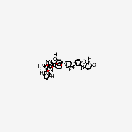 CN(c1cccc([C@H]2CCN([C@H]3CC[C@H](c4ccnc(N5[C@@H]6CC[C@H]5CN(c5cc(-c7ccccc7O)nnc5N)C6)n4)CC3)CC2(F)F)c1)C1CCC(=O)NC1=O